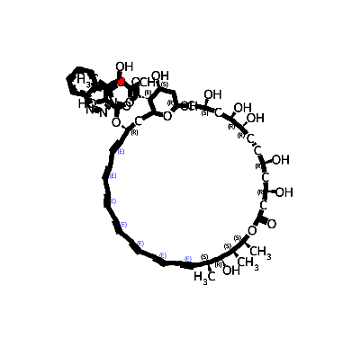 CC1OC(O[C@H]2/C=C/C=C/C=C/C=C/C=C/C=C/C=C/[C@H](C)[C@@H](O)[C@H](C)[C@H](C)OC(=O)C[C@H](O)C[C@H](O)CC[C@@H](O)[C@H](O)C[C@H](O)C[C@]3(O)C[C@H](O)[C@@H](C(=O)On4nnc5ccccc5c4=O)C(C2)O3)C(O)C(C)C1O